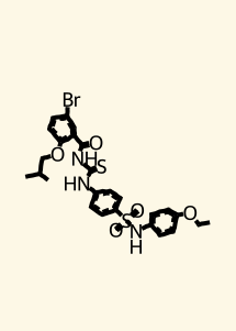 CCOc1ccc(NS(=O)(=O)c2ccc(NC(=S)NC(=O)c3cc(Br)ccc3OCC(C)C)cc2)cc1